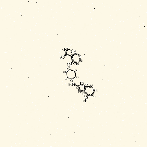 NC(=O)c1cccnc1O[C@H]1CC[C@H](Nc2nc3c(F)cccc3o2)CC1